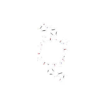 CC(C)C[C@H]1C(=O)O[C@H](Cc2ccc(Cn3ccc(Cl)cc3=O)cc2)C(=O)N(C)[C@@H](CC(C)C)C(=O)O[C@H](C)C(=O)N(C)[C@@H](CC(C)C)C(=O)O[C@H](Cc2ccc(Cn3ccc(Cl)cc3=O)cc2)C(=O)N(C)[C@@H](CC(C)C)C(=O)O[C@H](C)C(=O)N1C